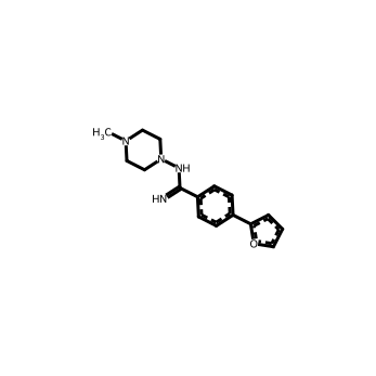 CN1CCN(NC(=N)c2ccc(-c3ccco3)cc2)CC1